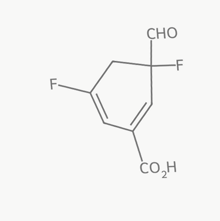 O=CC1(F)C=C(C(=O)O)C=C(F)C1